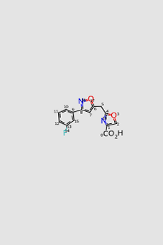 O=C(O)c1coc(Cc2cc(-c3cccc(F)c3)no2)n1